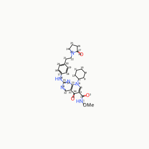 CONC(=O)c1cn(C2CCCCC2)c2nc(Nc3ccc(CCN4CCCC4=O)cc3)ncc2c1=O